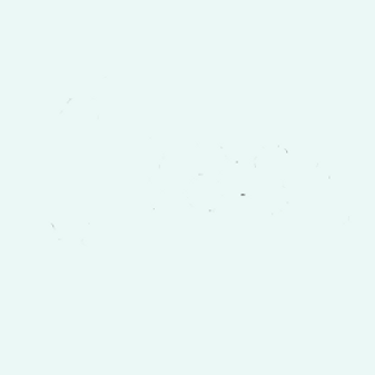 C=C(C)C(=O)OCCOC(=O)c1ccc2c3ccc(C(C)=O)c4c(C(C)C=O)ccc(c5ccc(C(=O)OCCOC(=O)C(=C)C)c1c25)c43